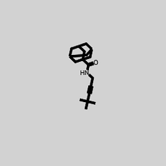 CC(C)(C)C#CCNC(=O)C12CC3CC(CC(C3)C1)C2